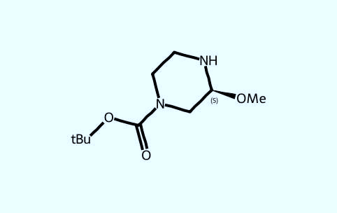 CO[C@H]1CN(C(=O)OC(C)(C)C)CCN1